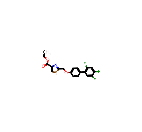 CCOC(=O)c1csc(COc2ccc(-c3cc(F)c(F)cc3F)cc2)n1